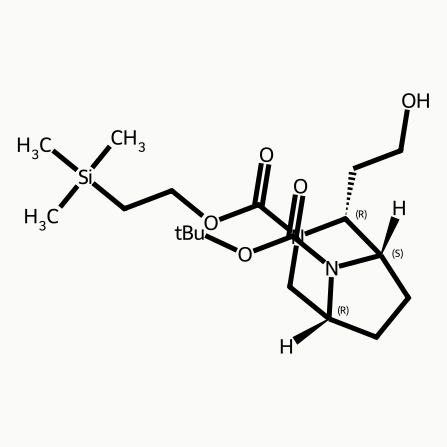 CC(C)(C)OC(=O)N1[C@@H]2CC[C@H]1[C@@H](CCO)N(C(=O)OCC[Si](C)(C)C)C2